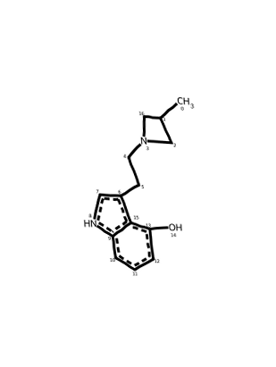 CC1CN(CCc2c[nH]c3cccc(O)c23)C1